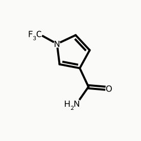 NC(=O)c1ccn(C(F)(F)F)c1